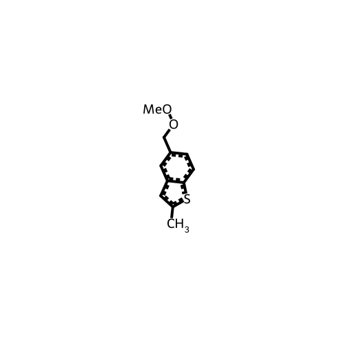 COOCc1ccc2sc(C)cc2c1